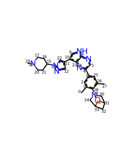 Cc1cc(-c2cnc3[nH]cc(-c4cnn(C5CCN(C)CC5)c4)c3n2)cc(C)c1N1CC2CC(C1)O2